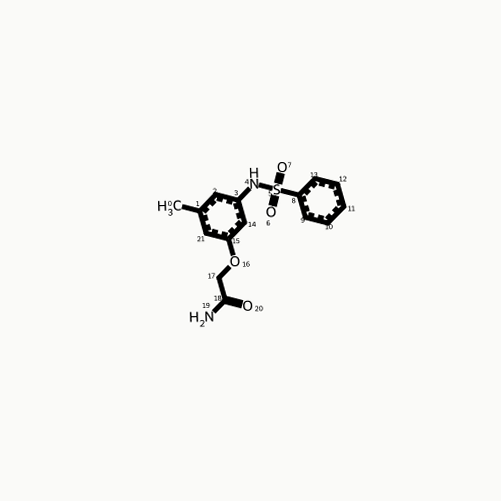 Cc1cc(NS(=O)(=O)c2ccccc2)cc(OCC(N)=O)c1